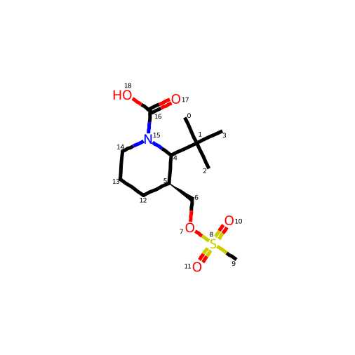 CC(C)(C)C1[C@@H](COS(C)(=O)=O)CCCN1C(=O)O